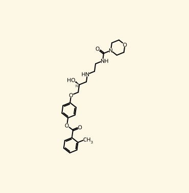 Cc1ccccc1C(=O)Oc1ccc(OC[C@@H](O)CNCCNC(=O)N2CCOCC2)cc1